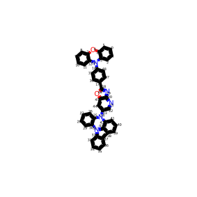 c1ccc2c(c1)Oc1ccccc1N2c1ccc(-c2nc3ncc(N4c5ccccc5-n5c6ccccc6c6cccc4c65)cc3o2)cc1